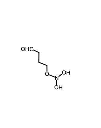 O=CCCCON(O)O